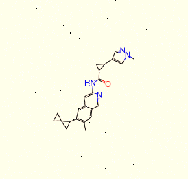 Cc1cc2cnc(NC(=O)C3CC3c3cnn(C)c3)cc2cc1C1CC12CC2